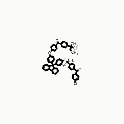 CCC(C)(Cl)c1ccc(C(=O)c2ccc(Oc3ccc(C4(c5ccc(OC(C)(C)c6ccc(C(=O)c7ccc(Cl)cc7)cc6)cc5)c5ccccc5-c5ccccc54)cc3)cc2)cc1